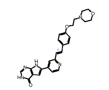 O=c1[nH]cnc2[nH]c(-c3ccnc(/C=C/c4ccc(OCCN5CCOCC5)cc4)c3)cc12